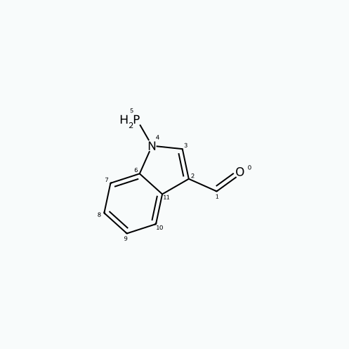 O=Cc1cn(P)c2ccccc12